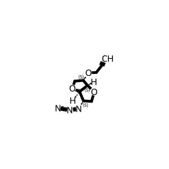 C#CCO[C@H]1CO[C@H]2[C@@H]1OC[C@@H]2N=[N+]=[N-]